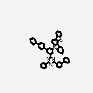 c1ccc(-c2ccc(-c3cc(-c4nc(-c5ccccc5)nc(-c5cccc(-c6ccccc6)c5)n4)cc(-n4c5ccccc5c5c6sc7ccccc7c6ccc54)c3)cc2)cc1